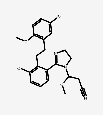 COc1ccc(Br)cc1CCc1c(Cl)cccc1C1=NCCN1C(CC#N)OC